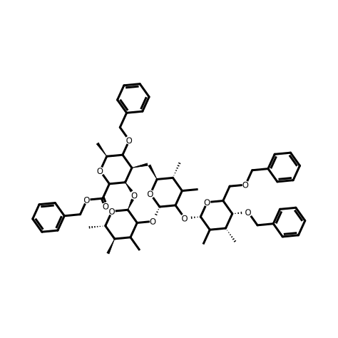 CC1C(O[C@@H]2OC(COCc3ccccc3)[C@H](OCc3ccccc3)[C@H](C)C2C)[C@H](OC2C(C)[C@@H](C)[C@H](C)O[C@H]2O[C@H]2C(C(=O)OCc3ccccc3)O[C@@H](C)C(OCc3ccccc3)[C@H]2C)O[C@@H](C)[C@@H]1C